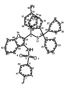 Cc1ccc(S(=O)(=O)Nc2c(C(SC(c3ccccc3)(c3ccccc3)c3ccccc3)c3ccc(C(C)C)cc3)oc3ccccc23)cc1